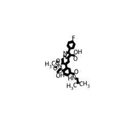 CC(C)CNC(=O)c1ccc(Cl)c(-c2cc3c(C(=O)O)c(-c4ccc(F)cc4)nn3cc2N(CCO)S(C)(=O)=O)c1